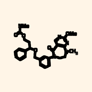 CNC(=O)OCCC(OCc1cccc(N2CCN(C)c3nc(OC)ncc3C2=O)c1)c1ccccc1